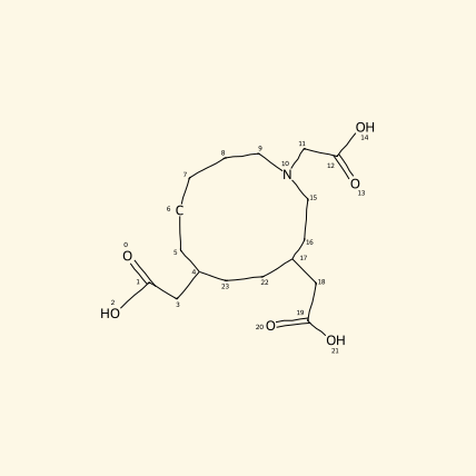 O=C(O)CC1CCCCCN(CC(=O)O)CCC(CC(=O)O)CC1